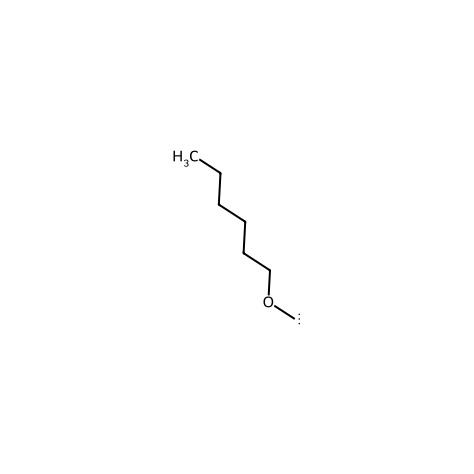 [C]OCCCCCC